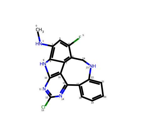 CNc1cc(F)c2c3c1[nH]c1nc(Cl)nc(c13)-c1ccccc1NC2